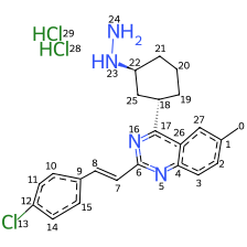 Cc1ccc2nc(C=Cc3ccc(Cl)cc3)nc([C@H]3CCC[C@H](NN)C3)c2c1.Cl.Cl